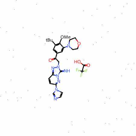 COc1c(N2CCOCC2)cc(C(=O)Cn2nc3ccc(-n4ccnc4)nn3c2=N)cc1C(C)(C)C.O=C(O)C(F)(F)F